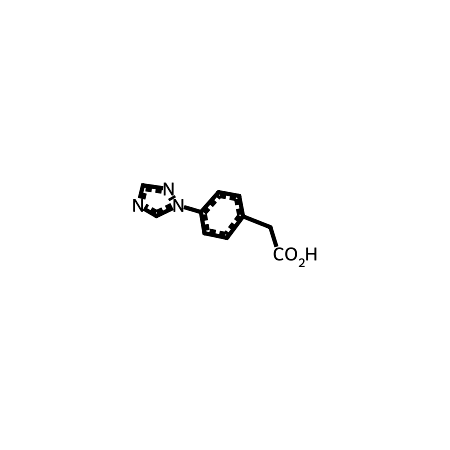 O=C(O)Cc1ccc(-n2cncn2)cc1